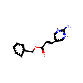 Nc1ncc(/C=C/C(=O)OCc2ccccc2)cn1